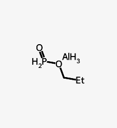 CCCO[PH2]=O.[AlH3]